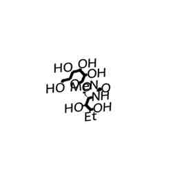 CC[C@@H](O)[C@@H](O)[C@H](COC1OC(CO)C(O)C(O)C1O)NC(=O)NC